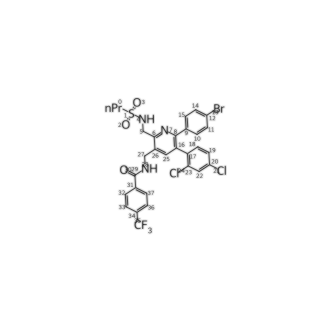 CCCS(=O)(=O)NCc1nc(-c2ccc(Br)cc2)c(-c2ccc(Cl)cc2Cl)cc1CNC(=O)c1ccc(C(F)(F)F)cc1